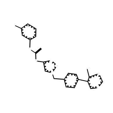 N#Cc1ncncc1-c1ccc(C[n+]2cc([N-]C(=O)Nc3cccc(C(F)(F)F)c3)on2)cc1